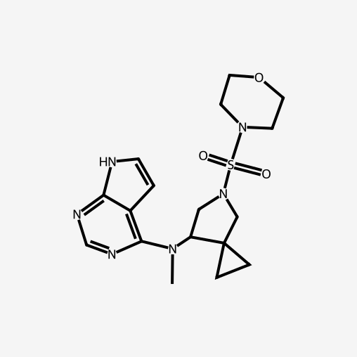 CN(c1ncnc2[nH]ccc12)C1CN(S(=O)(=O)N2CCOCC2)CC12CC2